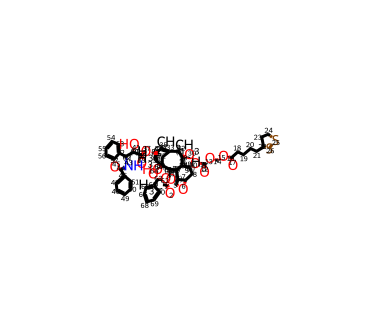 CC(=O)O[C@@]12COC1C[C@H](OC(=O)OCOC(=O)CCCCC1CCSS1)[C@@]1(C)C(=O)[C@H](C)C3=C(C)[C@@H](OC(=O)[C@H](O)[C@@H](NC(=O)c4ccccc4)c4ccccc4)C[C@@](O)([C@@H](OC(=O)c4ccccc4)[C@@H]12)C3(C)C